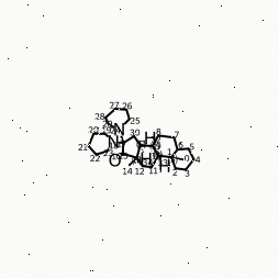 C[C@]12CCCCC1CC[C@@H]1[C@H]2CC[C@]2(C)C(=O)C(N3CCCCC3)(N3CCCCC3)C[C@@H]12